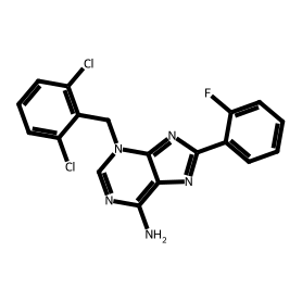 Nc1ncn(Cc2c(Cl)cccc2Cl)c2nc(-c3ccccc3F)nc1-2